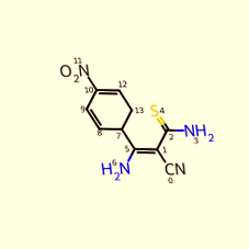 N#C/C(C(N)=S)=C(\N)C1C=CC([N+](=O)[O-])=CC1